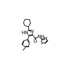 Cc1ccc(-c2[nH]c(C3CCCCC3)nc2C(=O)Nc2nccs2)cc1